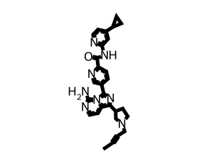 CC#CCN1CCC(c2nc(-c3ccc(C(=O)Nc4cc(C5CC5)ccn4)nc3)n3c(N)nccc23)C1